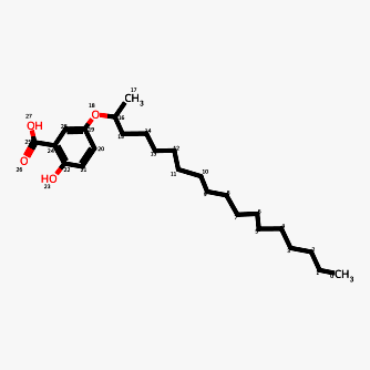 CCCCCCCCCCCCCCCCC(C)Oc1ccc(O)c(C(=O)O)c1